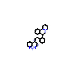 N/C=C\C(=C/Cc1ccccc1[C@@H]1CN2CC=CC=C2c2ccccc21)c1ccccc1